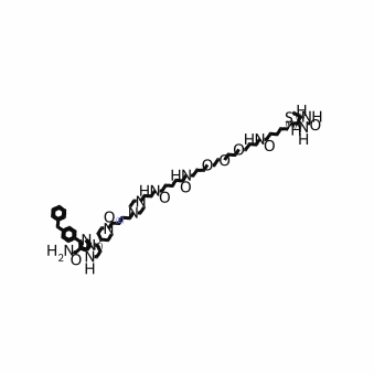 NC(=O)c1c(-c2ccc(Cc3ccccc3)cc2)nn2c1NCC[C@H]2C1CCN(C(=O)/C=C/CN2CCN(CCNC(=O)CCCC(=O)NCCCOCCOCCOCCCNC(=O)CCCC[C@H]3SC[C@H]4NC(=O)N[C@H]43)CC2)CC1